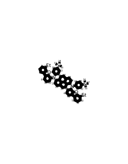 CCc1cccc2c1oc1c(N(c3ccc([Si](C)(C)C)cc3)c3ccc4ccc5c(N(c6ccc([Si](C)(C)C)cc6)c6cccc7c6oc6c(CC)cccc67)ccc6ccc3c4c65)cccc12